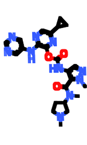 CN1CCC(N(C)C(=O)c2c(NC(=O)Oc3nc(C4CC4)cnc3Nc3cncnc3)cnn2C)C1